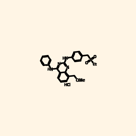 CCS(=O)(=O)Cc1ccc(Nc2nc(Nc3ccccc3)c3cccc(COC)c3n2)cc1.Cl